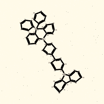 c1ccc([Si]2(c3ccccc3)c3ccccc3N(c3ccc(-c4ccc(-n5c6ccccc6c6ccccc65)cc4)cc3)c3ccccc32)cc1